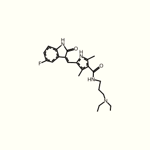 CCN(CC)CCCNC(=O)c1c(C)[nH]c(/C=C2\C(=O)Nc3ccc(F)cc32)c1C